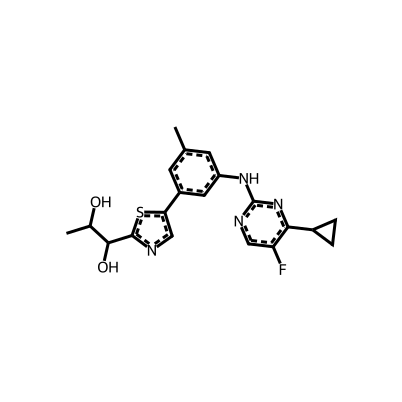 Cc1cc(Nc2ncc(F)c(C3CC3)n2)cc(-c2cnc(C(O)C(C)O)s2)c1